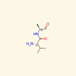 CC(C)[C@H](N)C(=O)N[C@@H](C)[C]=O